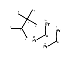 CC(C)C(C)(C)C.CC(C)CC(C)C.CC(C)CC(C)C